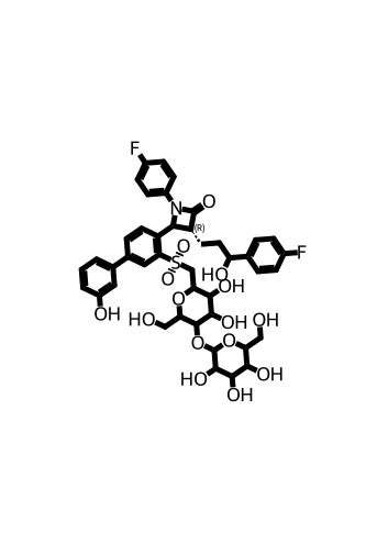 O=C1[C@H](CCC(O)c2ccc(F)cc2)C(c2ccc(-c3cccc(O)c3)cc2S(=O)(=O)CC2OC(CO)C(OC3OC(CO)C(O)C(O)C3O)C(O)C2O)N1c1ccc(F)cc1